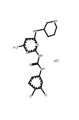 Cc1cc(NC2CCCNC2)nc(NC(=O)Nc2ccc(Cl)c(Cl)c2)n1.Cl